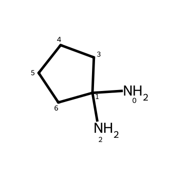 NC1(N)CCCC1